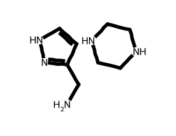 C1CNCCN1.NCc1cc[nH]n1